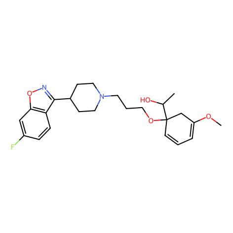 COC1=CC=CC(OCCCN2CCC(c3noc4cc(F)ccc34)CC2)(C(C)O)C1